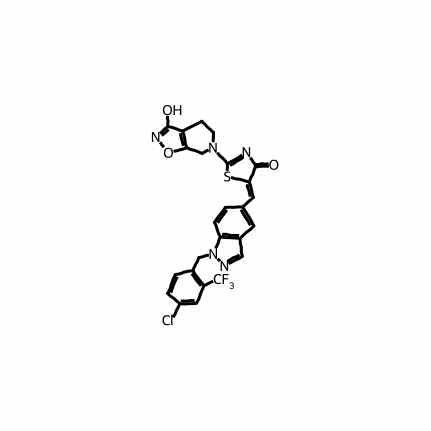 O=C1N=C(N2CCc3c(O)noc3C2)S/C1=C\c1ccc2c(cnn2Cc2ccc(Cl)cc2C(F)(F)F)c1